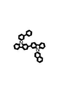 c1ccc(-c2cccc(-n3c4ccccc4c4ccc(-c5ccc6c7ccccc7n(-c7ccc8ccccc8c7)c6c5)cc43)c2)cc1